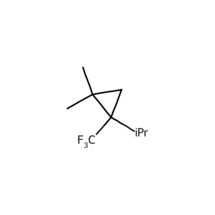 CC(C)C1(C(F)(F)F)CC1(C)C